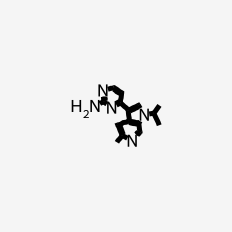 Cc1cc2c(-c3ccnc(N)n3)cn(C(C)C)c2cn1